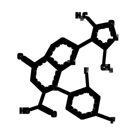 Cc1noc(C)c1-c1ccc2c(=O)cc(C(=O)O)n(-c3ccc(F)cc3F)c2n1